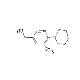 Cc1cc(CO)ccc1C1CCCCC1